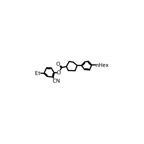 CCCCCCc1ccc(C2CCC(C(=O)Oc3ccc(CC)cc3C#N)CC2)cc1